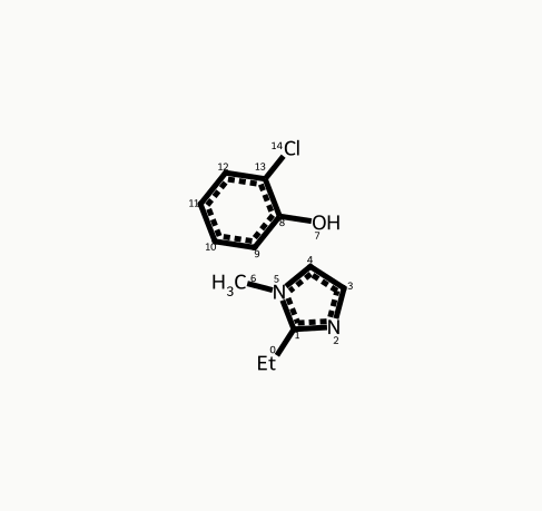 CCc1nccn1C.Oc1ccccc1Cl